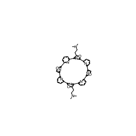 CN(C)CCc1oc2nc1-c1cccc(n1)-c1nc(co1)-c1cccc(n1)-c1nc(c(CCN(C)C)o1)-c1cccc(n1)-c1nc(co1)-c1cccc-2n1